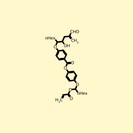 C=CC(=O)OC(CCCCCC)Oc1ccc(OC(=O)c2ccc(OC(CCCCCC)C(O)CC(=C)C=O)cc2)cc1